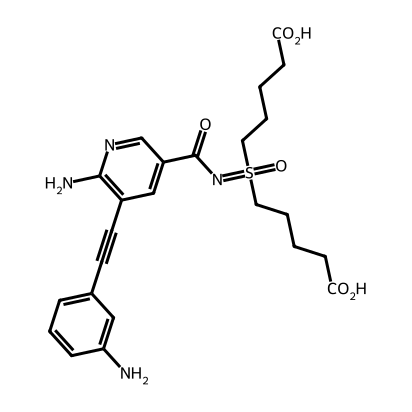 Nc1cccc(C#Cc2cc(C(=O)N=S(=O)(CCCCC(=O)O)CCCCC(=O)O)cnc2N)c1